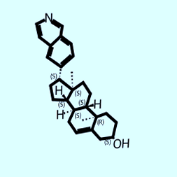 C[C@]12CC[C@H]3[C@@H](CC=C4C[C@@H](O)CC[C@@]43C)[C@@H]1CC[C@@H]2c1ccc2cnccc2c1